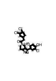 O=C(Cc1ccc(Cl)c(Cl)c1)N1CCc2noc(-c3cc(Cl)c(O)cc3O)c2C1